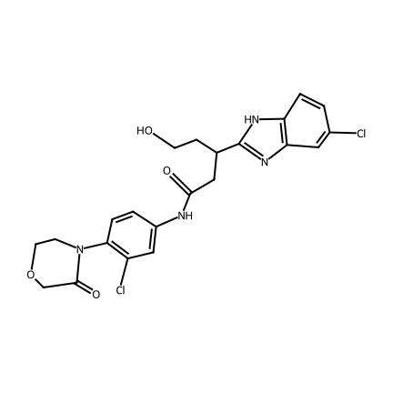 O=C(CC(CCO)c1nc2cc(Cl)ccc2[nH]1)Nc1ccc(N2CCOCC2=O)c(Cl)c1